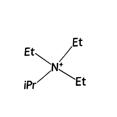 [CH2]C(C)[N+](CC)(CC)CC